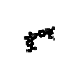 Cc1cc(=O)[nH]n1-c1ccc(NC=C2C(=O)Nc3ncc(C(=O)O)cc32)cc1